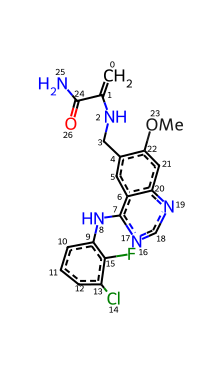 C=C(NCc1cc2c(Nc3cccc(Cl)c3F)ncnc2cc1OC)C(N)=O